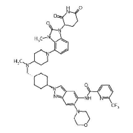 CN(C[C@H]1CC[C@H](n2cc3cc(NC(=O)c4cccc(C(F)(F)F)n4)c(N4CCOCC4)cc3n2)CC1)C1CCN(c2cccc3c2n(C)c(=O)n3C2CCC(=O)NC2=O)CC1